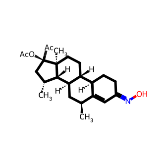 CC(=O)O[C@]1(C(C)=O)C[C@@H](C)[C@H]2[C@@H]3C[C@H](C)C4=C/C(=N/O)CC[C@@H]4[C@H]3CC[C@@]21C